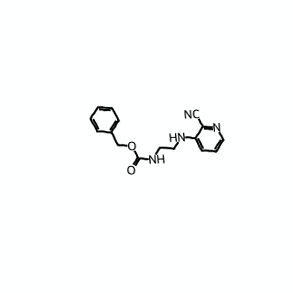 N#Cc1ncccc1NCCNC(=O)OCc1ccccc1